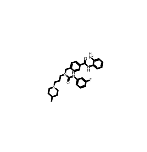 CC1CCN(CCCN(Cc2ccc(C(=O)Nc3ccccc3N)cc2)C(=O)Nc2cccc(F)c2)CC1